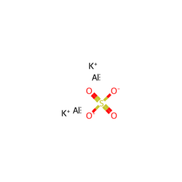 O=S(=O)([O-])[O-].[Al].[Al].[K+].[K+]